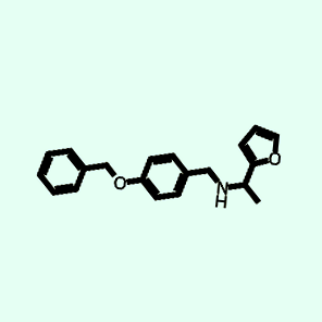 CC(NCc1ccc(OCc2ccccc2)cc1)c1ccco1